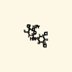 C=C(CC(=O)Nc1cc(Cl)cc(Cl)c1)C(=O)OC(C)C